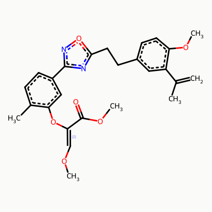 C=C(C)c1cc(CCc2nc(-c3ccc(C)c(O/C(=C\OC)C(=O)OC)c3)no2)ccc1OC